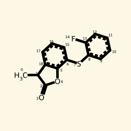 CC1C(=O)Oc2c(Sc3ccccc3F)cccc21